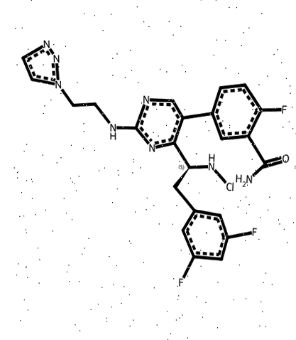 NC(=O)c1cc(-c2cnc(NCCn3ccnn3)nc2[C@H](Cc2cc(F)cc(F)c2)NCl)ccc1F